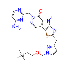 Cn1c2nc(Cc3ccn(COCC[Si](C)(C)C)n3)sc2c2cnn(Cc3nccc(N)n3)c(=O)c21